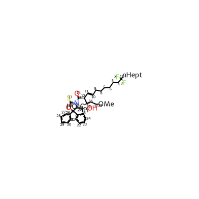 CCCCCCCC(F)(F)CCCCCC/C=C/[C@H](C(=O)N1C(=S)OC(c2ccccc2)(c2ccccc2)[C@@H]1C(C)C)[C@@](O)(CCOC)C(=O)O